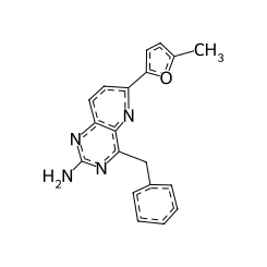 Cc1ccc(-c2ccc3nc(N)nc(Cc4ccccc4)c3n2)o1